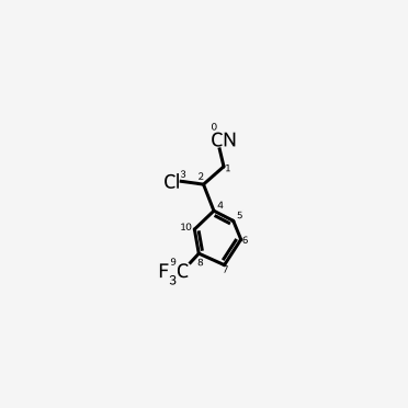 N#CCC(Cl)c1cccc(C(F)(F)F)c1